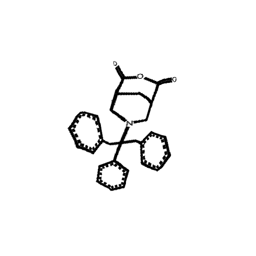 O=C1OC(=O)C2CC1CN(C(c1ccccc1)(c1ccccc1)c1ccccc1)C2